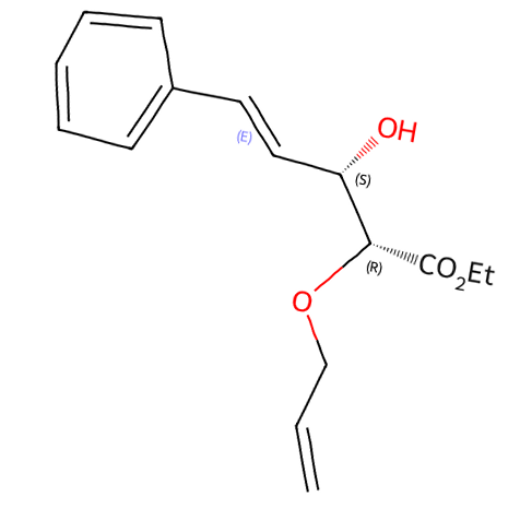 C=CCO[C@@H](C(=O)OCC)[C@@H](O)/C=C/c1ccccc1